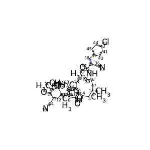 CC1(C)CC[C@H]2C(=O)C=C3[C@@]4(C)C=C(C#N)C(=O)C(C)(C)[C@@H]4CC[C@@]3(C)[C@]2(C)CC[C@@](C)(NC(=O)/C(C#N)=C/c2ccc(Cl)cc2)CC1